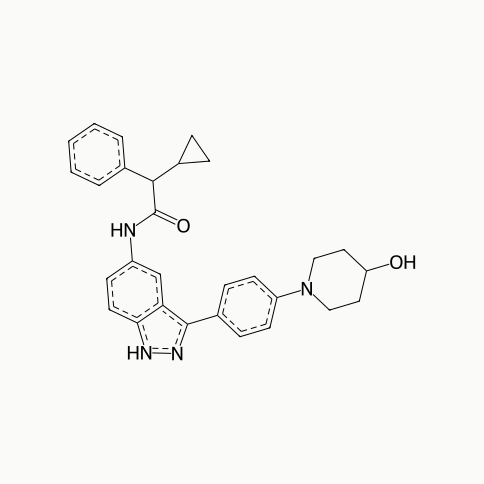 O=C(Nc1ccc2[nH]nc(-c3ccc(N4CCC(O)CC4)cc3)c2c1)C(c1ccccc1)C1CC1